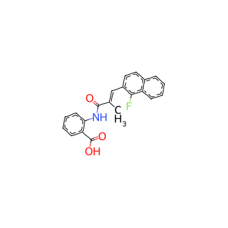 CC(=Cc1ccc2ccccc2c1F)C(=O)Nc1ccccc1C(=O)O